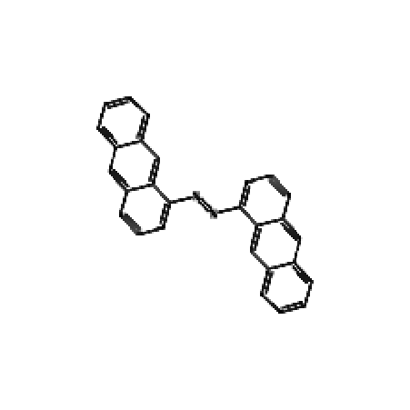 c1ccc2cc3c(N=Nc4cccc5cc6ccccc6cc45)cccc3cc2c1